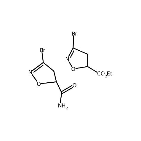 CCOC(=O)C1CC(Br)=NO1.NC(=O)C1CC(Br)=NO1